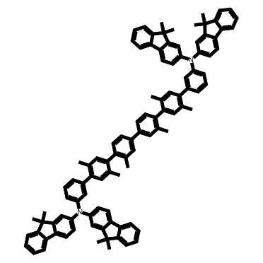 Cc1cc(-c2ccc(-c3ccc(-c4cc(C)c(-c5cccc(N(c6ccc7c(c6)C(C)(C)c6ccccc6-7)c6ccc7c(c6)C(C)(C)c6ccccc6-7)c5)cc4C)c(C)c3)cc2C)c(C)cc1-c1cccc(N(c2ccc3c(c2)C(C)(C)c2ccccc2-3)c2ccc3c(c2)C(C)(C)c2ccccc2-3)c1